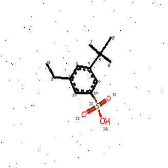 CCc1cc(C(C)(C)C)cc(S(=O)(=O)O)c1